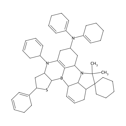 CC1(C)N2C3CC(N(C4=CCCC=C4)C4=CCCCC4)CC4=C3B(C3C=CCC(C32)C12CCCCC2)C1SC(C2=CC=CCC2)CC1N4C1C=CC=CC1